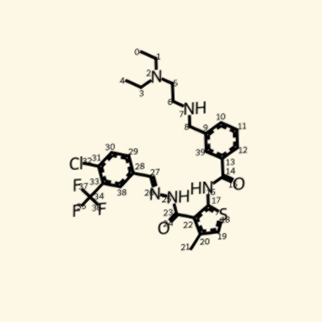 CCN(CC)CCNCc1cccc(C(=O)Nc2scc(C)c2C(=O)NN=Cc2ccc(Cl)c(C(F)(F)F)c2)c1